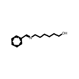 OCCCCCC/N=C/c1ccccc1